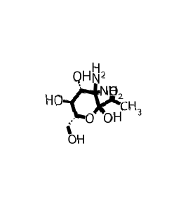 CC(=O)C1(O)O[C@H](CO)[C@@H](O)[C@H](O)C1(N)N